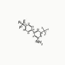 CC(C)(C)c1cc(N)cc(-c2ccc(C(F)(F)F)cc2)c1